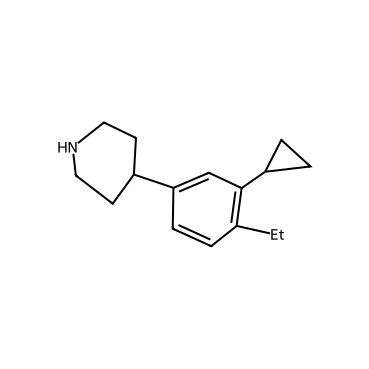 CCc1ccc(C2CCNCC2)cc1C1CC1